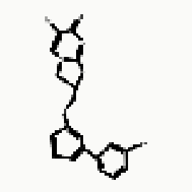 CCc1cn2c(nc1=O)OC(COc1cccc(-c3cccc(C(C)C)c3)c1)C2